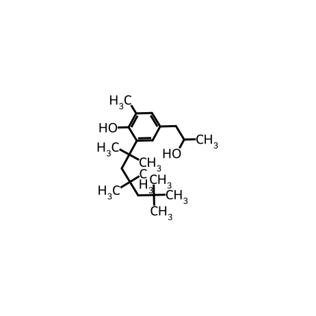 Cc1cc(CC(C)O)cc(C(C)(C)CC(C)(C)CC(C)(C)C)c1O